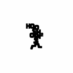 CCCC(C)(CCC)SC[C@H](N)C(=O)NCC(=O)O